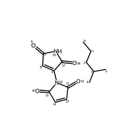 CCCC(C)C.O=C1C=C(N2C(=O)C=CC2=O)C(=O)N1